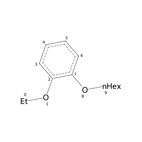 [CH2]COc1ccccc1OCCCCCC